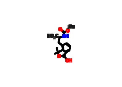 CC(C)(C)OC(=O)N[C@@H](Cc1cccc2c1C(C)(C)OB2O)C(=O)O